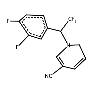 N#CC1=CN(C(c2ccc(F)c(F)c2)C(F)(F)F)CC=C1